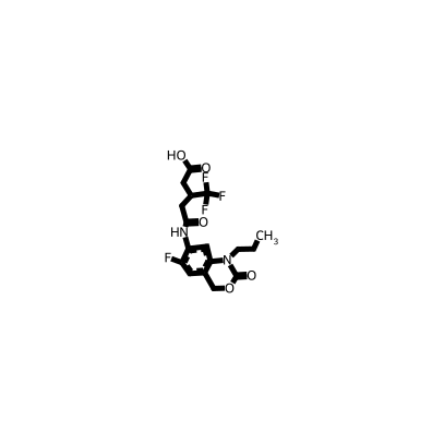 CCCN1C(=O)OCc2cc(F)c(NC(=O)CC(CC(=O)O)C(F)(F)F)cc21